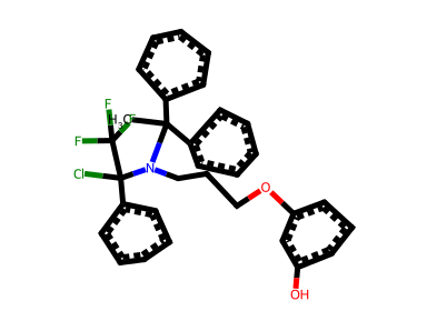 CC(c1ccccc1)(c1ccccc1)N(CCCOc1cccc(O)c1)C(Cl)(c1ccccc1)C(F)(F)F